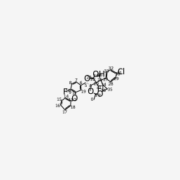 CC(=O)O[C@H](Cc1ccc(F)c(Oc2ccccc2)c1)[C@](F)(C(=O)O)[C@](C)(c1ccc(Cl)cc1)C1CC1